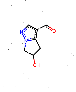 O=Cc1cnn2c1CC(O)C2